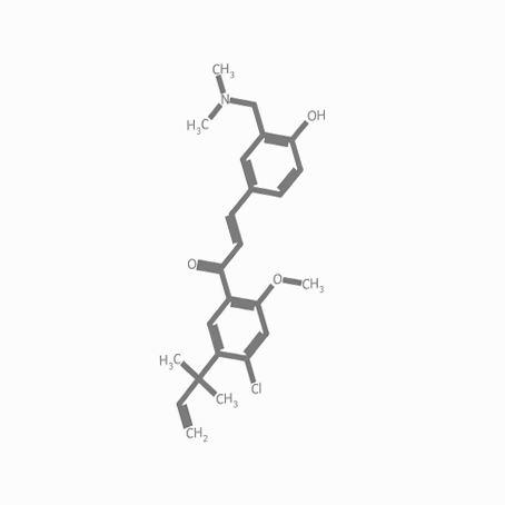 C=CC(C)(C)c1cc(C(=O)C=Cc2ccc(O)c(CN(C)C)c2)c(OC)cc1Cl